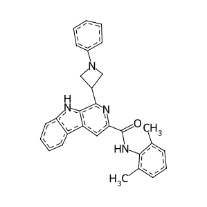 Cc1cccc(C)c1NC(=O)c1cc2c([nH]c3ccccc32)c(C2CN(c3ccccc3)C2)n1